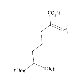 C=C(CCCC(CCCCCC)CCCCCCCC)C(=O)O